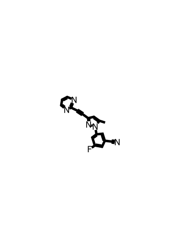 Cc1cc(C#Cc2ncccn2)nn1-c1cc(F)cc(C#N)c1